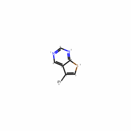 CC(C)c1csc2ncncc12